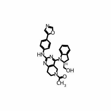 CC(=O)N1CCc2nc(Nc3ccc(-c4cnco4)cc3)nc(N3c4ccccc4C[C@H]3CO)c2C1